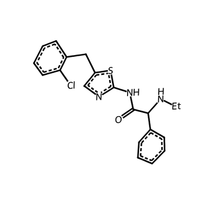 CCNC(C(=O)Nc1ncc(Cc2ccccc2Cl)s1)c1ccccc1